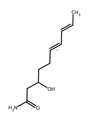 C/C=C/C=C/CCC(O)CC(N)=O